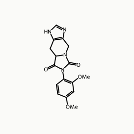 COc1ccc(N2C(=O)C3Cc4[nH]cnc4CN3C2=O)c(OC)c1